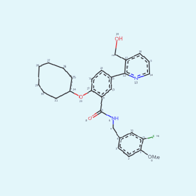 COc1ccc(CNC(=O)c2cc(-c3ncccc3CO)ccc2OC2CCCCCCC2)cc1F